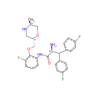 C[C@H]1CO[C@H](COc2c(F)cccc2NC(=O)[C@@H](N)C(c2ccc(F)cc2)c2ccc(F)cc2)CN1